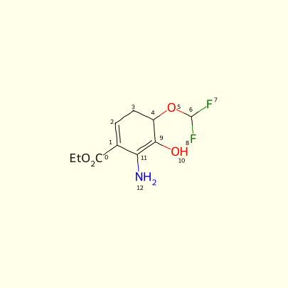 CCOC(=O)C1=CCC(OC(F)F)C(O)=C1N